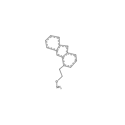 [SiH3]OCCc1cccc2cc3ccccc3cc12